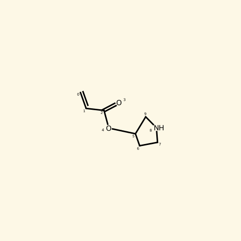 C=CC(=O)OC1CCNC1